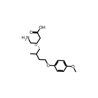 COc1ccc(OCCC(C)C[C@H](CN)CC(=O)O)cc1